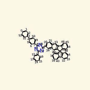 c1ccc(-c2ccc(-c3nc(-c4ccccc4)nc(-c4ccc5cc6c(cc5c4)C(c4ccccc4)(c4ccccc4)c4ccccc4-6)n3)cc2)cc1